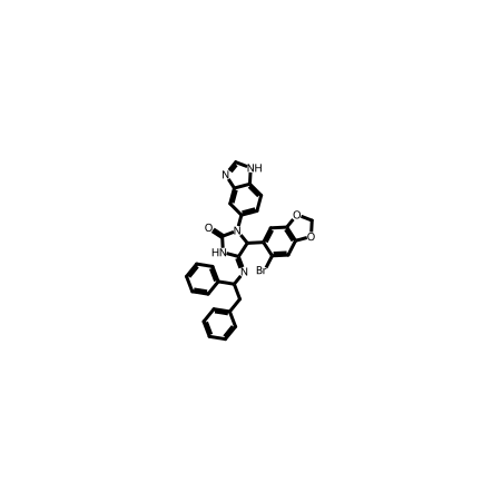 O=C1NC(=NC(Cc2ccccc2)c2ccccc2)C(c2cc3c(cc2Br)OCO3)N1c1ccc2[nH]cnc2c1